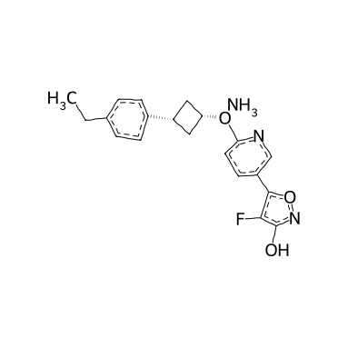 CCc1ccc([C@H]2C[C@@H](Oc3ccc(-c4onc(O)c4F)cn3)C2)cc1.N